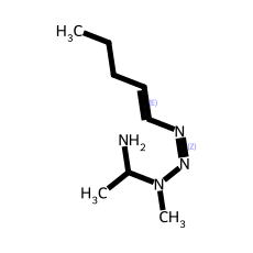 CCC/C=C/N=N\N(C)C(C)N